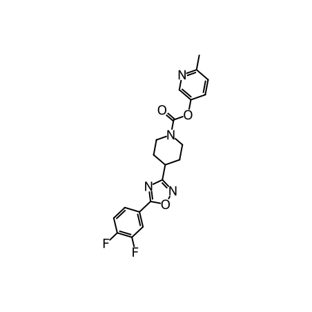 Cc1ccc(OC(=O)N2CCC(c3noc(-c4ccc(F)c(F)c4)n3)CC2)cn1